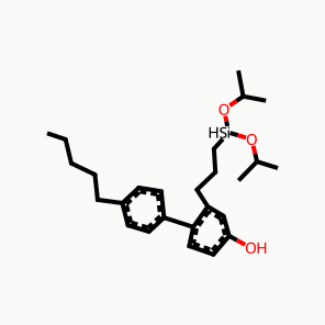 CCCCCc1ccc(-c2ccc(O)cc2CCC[SiH](OC(C)C)OC(C)C)cc1